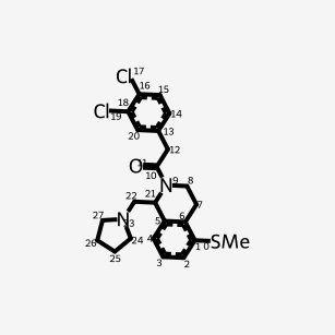 CSc1cccc2c1CCN(C(=O)Cc1ccc(Cl)c(Cl)c1)C2CN1CCCC1